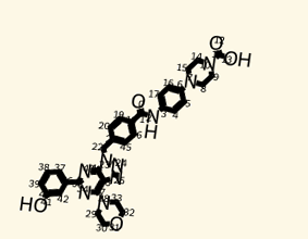 O=C(Nc1ccc(N2CCN(C(=O)O)CC2)cc1)c1ccc(Cn2nnc3c(N4CCOCC4)nc(-c4cccc(O)c4)nc32)cc1